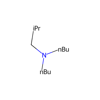 CCCCN(CCCC)CC(C)C